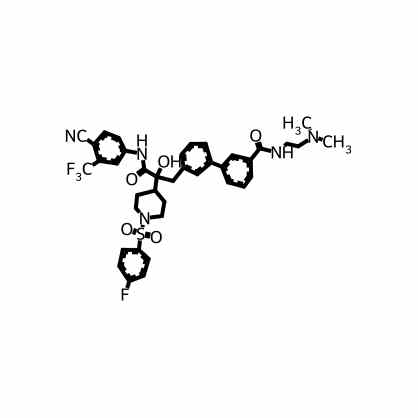 CN(C)CCNC(=O)c1cccc(-c2cccc(CC(O)(C(=O)Nc3ccc(C#N)c(C(F)(F)F)c3)C3CCN(S(=O)(=O)c4ccc(F)cc4)CC3)c2)c1